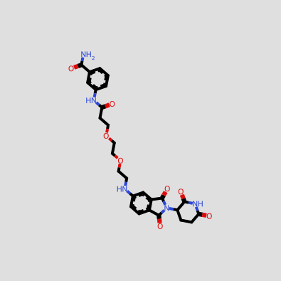 NC(=O)c1cccc(NC(=O)CCOCCOCCNc2ccc3c(c2)C(=O)N(C2CCC(=O)NC2=O)C3=O)c1